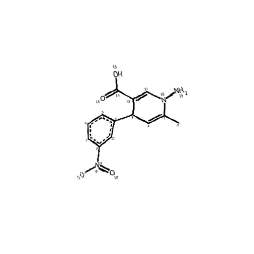 CC1=CC(c2cccc([N+](=O)[O-])c2)C(C(=O)O)=CN1N